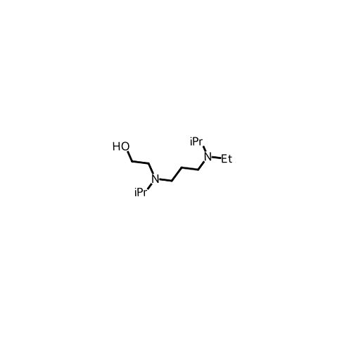 CCN(CCCN(CCO)C(C)C)C(C)C